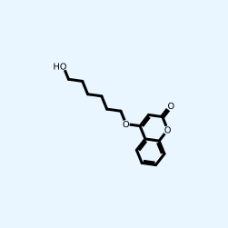 O=c1cc(OCCCCCCO)c2ccccc2o1